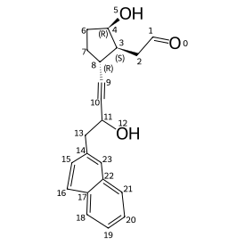 O=CC[C@@H]1[C@H](O)CC[C@H]1C#CC(O)Cc1ccc2ccccc2c1